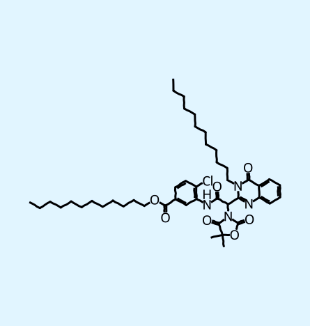 CCCCCCCCCCCCOC(=O)c1ccc(Cl)c(NC(=O)C(c2nc3ccccc3c(=O)n2CCCCCCCCCCCC)N2C(=O)OC(C)(C)C2=O)c1